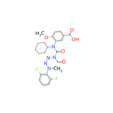 COc1ccc(C(=O)O)cc1N(C(=O)N(C=O)/N=N\N(C)c1c(F)cccc1F)C1CCCCC1